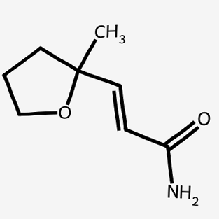 CC1(C=CC(N)=O)CCCO1